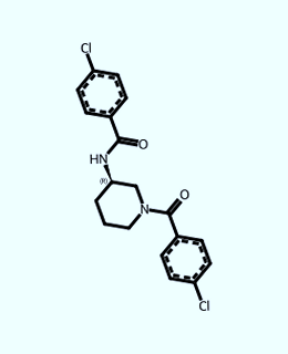 O=C(N[C@@H]1CCCN(C(=O)c2ccc(Cl)cc2)C1)c1ccc(Cl)cc1